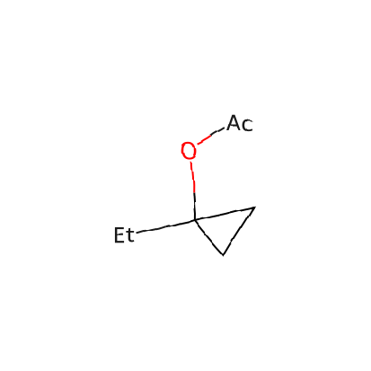 CCC1(OC(C)=O)CC1